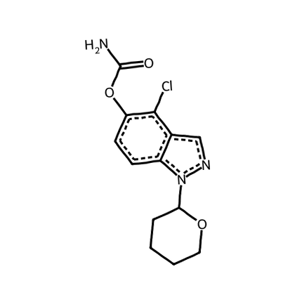 NC(=O)Oc1ccc2c(cnn2C2CCCCO2)c1Cl